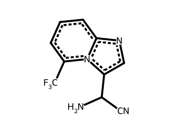 N#CC(N)c1cnc2cccc(C(F)(F)F)n12